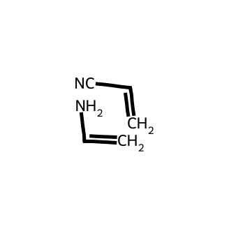 C=CC#N.C=CN